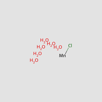 O.O.O.O.O.O.[Cl][Mn]